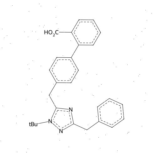 CC(C)(C)n1nc(Cc2ccccc2)nc1Cc1ccc(-c2ccccc2C(=O)O)cc1